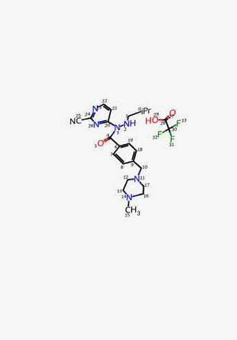 CC(C)CNN(C(=O)c1ccc(CN2CCN(C)CC2)cc1)c1ccnc(C#N)n1.O=C(O)C(F)(F)F